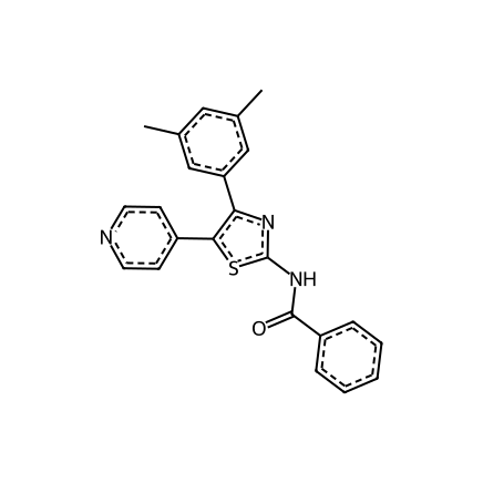 Cc1cc(C)cc(-c2nc(NC(=O)c3ccccc3)sc2-c2ccncc2)c1